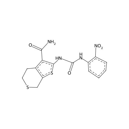 NC(=O)c1c(NC(=O)Nc2ccccc2[N+](=O)[O-])sc2c1CCSC2